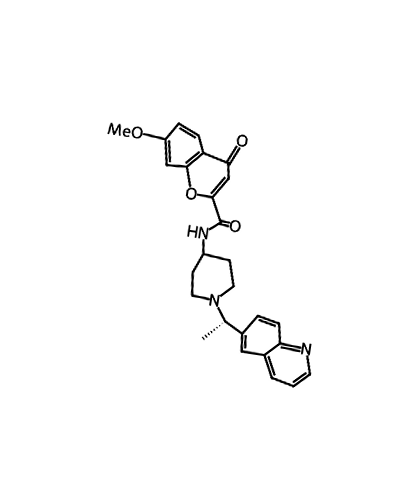 COc1ccc2c(=O)cc(C(=O)NC3CCN([C@@H](C)c4ccc5ncccc5c4)CC3)oc2c1